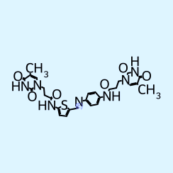 Cc1cn(CCC(=O)Nc2ccc(/N=C/c3ccc(NC(=O)CCn4cc(C)c(=O)[nH]c4=O)s3)cc2)c(=O)[nH]c1=O